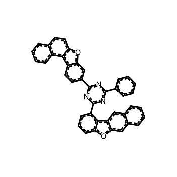 c1ccc(-c2nc(-c3ccc4c(c3)oc3ccc5ccccc5c34)nc(-c3cccc4oc5cc6ccccc6cc5c34)n2)cc1